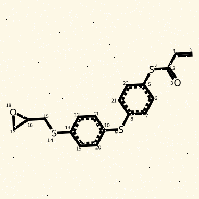 C=CC(=O)Sc1ccc(Sc2ccc(SCC3CO3)cc2)cc1